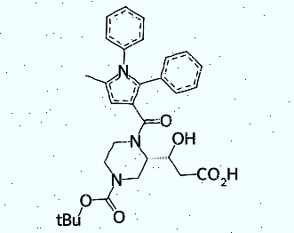 Cc1cc(C(=O)N2CCN(C(=O)OC(C)(C)C)C[C@H]2C(O)CC(=O)O)c(-c2ccccc2)n1-c1ccccc1